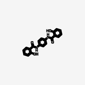 O=C(Nc1ccc(NC(=O)c2ccccc2O)cc1)c1ccccc1O